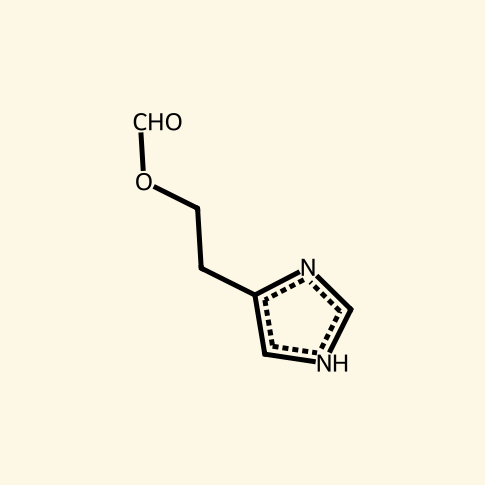 O=COCCc1c[nH]cn1